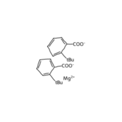 CC(C)(C)c1ccccc1C(=O)[O-].CC(C)(C)c1ccccc1C(=O)[O-].[Mg+2]